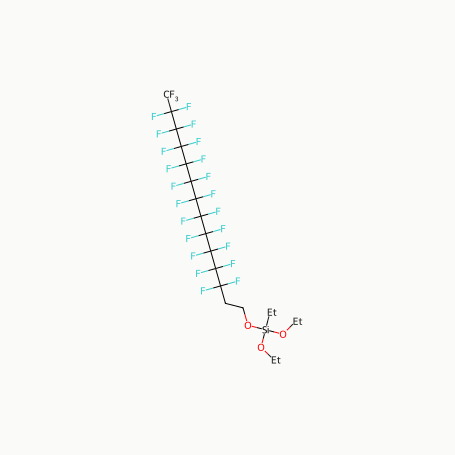 CCO[Si](CC)(OCC)OCCC(F)(F)C(F)(F)C(F)(F)C(F)(F)C(F)(F)C(F)(F)C(F)(F)C(F)(F)C(F)(F)C(F)(F)C(F)(F)C(F)(F)F